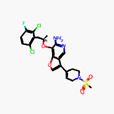 C[C@@H](Oc1c(N)ncc2c(C3=CCN(S(C)(=O)=O)CC3)coc12)c1c(Cl)ccc(F)c1Cl